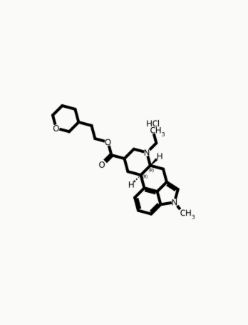 CCN1CC(C(=O)OCCC2CCCOC2)C[C@@H]2c3cccc4c3c(cn4C)C[C@H]21.Cl